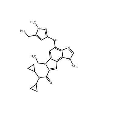 CCn1c(C(=O)N(C2CC2)C2CC2)cc2c3c(ncn3C)c(Nc3cc(CO)n(C)n3)cc21